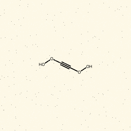 OOC#COO